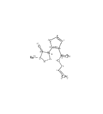 C=CCOC(=O)c1ccsc1N1CCC(Br)C1=O